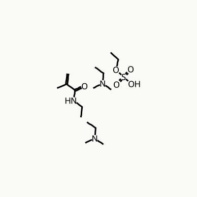 C=C(C)C(=O)NCC.CCN(C)C.CCN(C)C.CCOS(=O)(=O)O